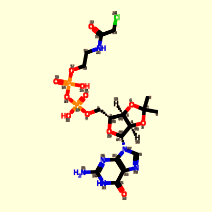 CC1(C)O[C@@H]2[C@H](O1)[C@@H](COP(=O)(O)OP(=O)(O)OCCNC(=O)CCl)O[C@H]2n1cnc2c(=O)[nH]c(N)nc21